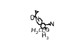 CC1(C)CC2(C=C(C#N)C1=O)CCN(C(=O)C1CC1)CC2